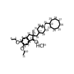 CCOc1cc2c(cc1OCC)C(=O)C(F)(CC1CCN(CC3CCCCCCC3)CC1)C2.Cl